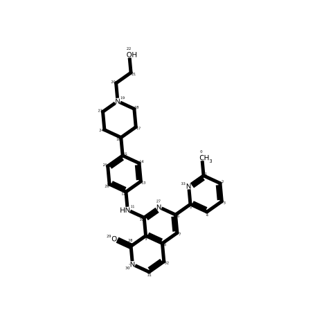 Cc1cccc(-c2cc3c(c(Nc4ccc(C5CCN(CCO)CC5)cc4)n2)C(=O)[N]C=C3)n1